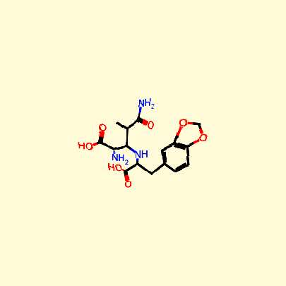 CC(C(N)=O)C(NC(Cc1ccc2c(c1)OCO2)C(=O)O)[C@H](N)C(=O)O